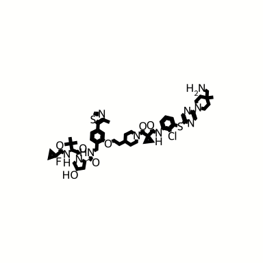 Cc1ncsc1-c1ccc(CNC(=O)[C@@H]2C[C@@H](O)CN2C(=O)[C@@H](NC(=O)C2(F)CC2)C(C)(C)C)c(OCCC2CCN(C(=O)C3(C(=O)Nc4cccc(Sc5cnc(N6CCC(C)(CN)CC6)cn5)c4Cl)CC3)CC2)c1